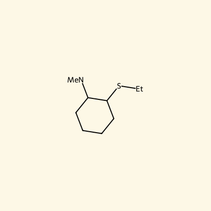 CCSC1CCCCC1NC